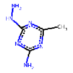 Cc1nc(N)nc(NN)n1